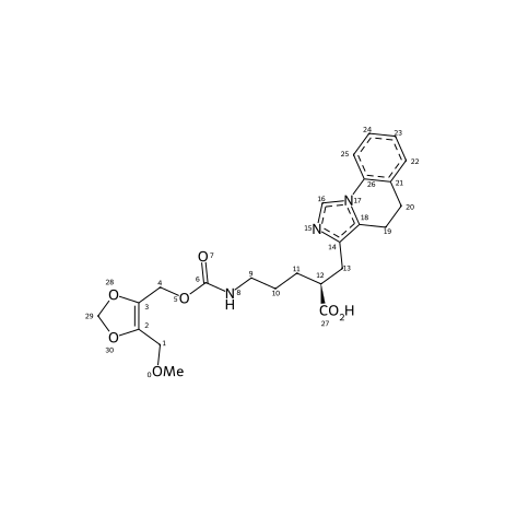 COCC1=C(COC(=O)NCCC[C@@H](Cc2ncn3c2CCc2ccccc2-3)C(=O)O)OCO1